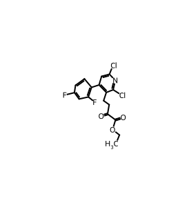 CCOC(=O)C(=O)CCc1c(-c2ccc(F)cc2F)cc(Cl)nc1Cl